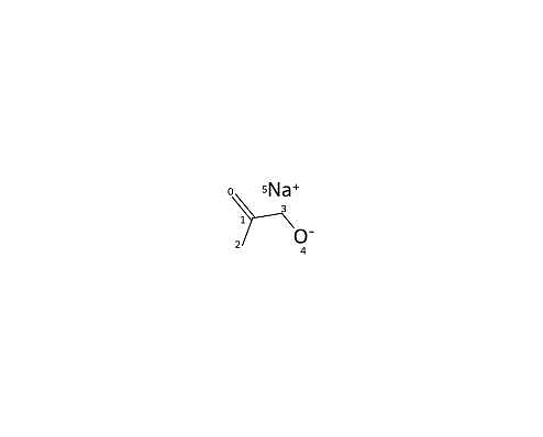 C=C(C)C[O-].[Na+]